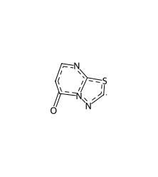 O=c1ccnc2s[c]nn12